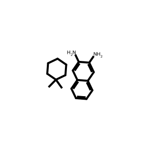 CC1(C)CCCCC1.Nc1cc2ccccc2cc1N